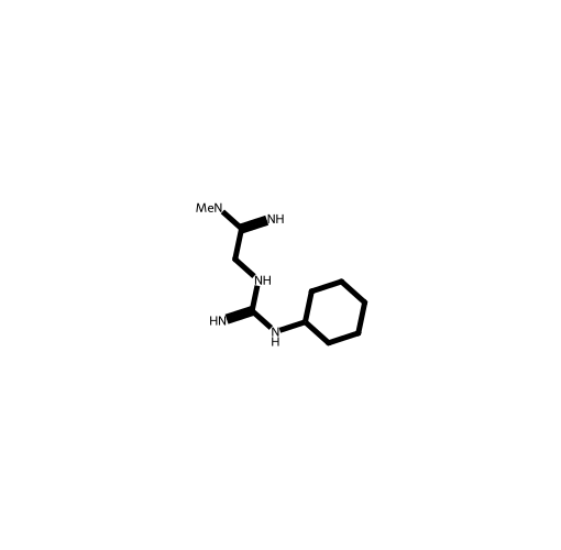 CNC(=N)CNC(=N)NC1CCCCC1